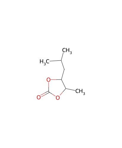 CC(C)CC1OC(=O)OC1C